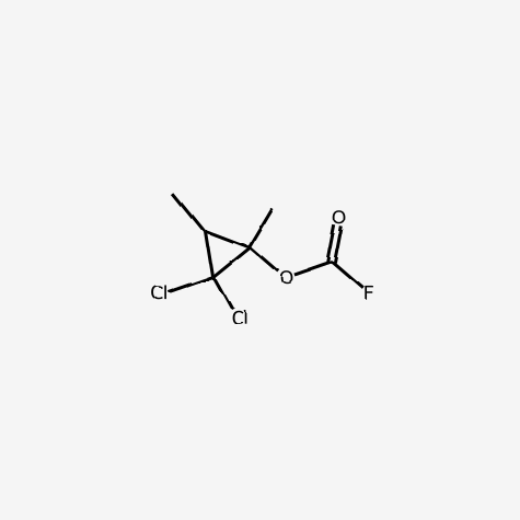 CC1C(Cl)(Cl)C1(C)OC(=O)F